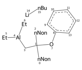 CCCCCCCCCC(CCCCCCCCC)([CH2][Al]([CH2]C)[CH2]C)Oc1ccccc1.[Li][CH2]CCC